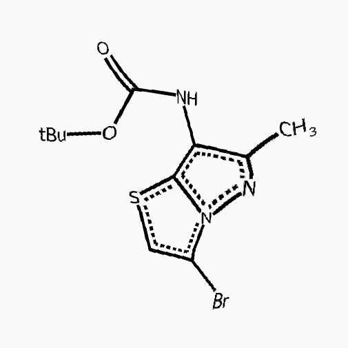 Cc1nn2c(Br)csc2c1NC(=O)OC(C)(C)C